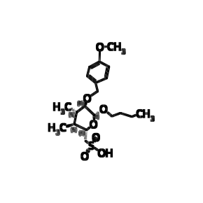 CCCCO[C@@H]1O[C@H](CS(=O)(=O)O)[C@@H](C)[C@H](C)[C@H]1OCc1ccc(OC)cc1